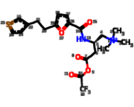 C[N+](C)(C)C[C@@H](CC(=O)OC(=O)C(F)(F)F)NC(=O)c1ccc(CCc2ccsc2)o1